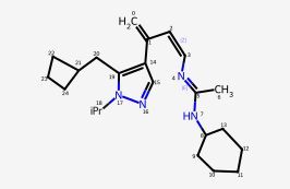 C=C(/C=C\N=C(/C)NC1CCCCC1)c1cnn(C(C)C)c1CC1CCC1